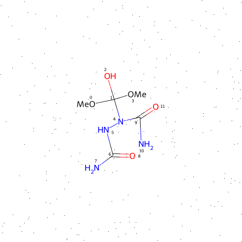 COC(O)(OC)N(NC(N)=O)C(N)=O